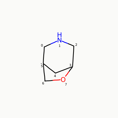 C1NCC2C[C]1CO2